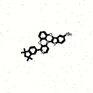 CC(C)(C)c1ccc2sc3c(c2c1)Oc1cccc2c1B3c1ccnc(-c3ccc4c(c3)C(C)(C)CC4(C)C)c1O2